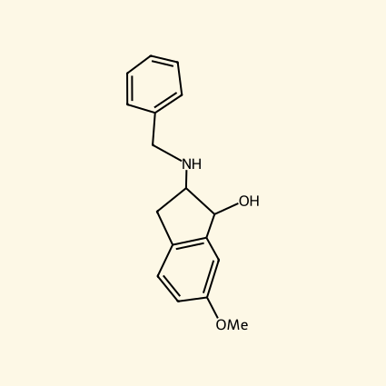 COc1ccc2c(c1)C(O)C(NCc1ccccc1)C2